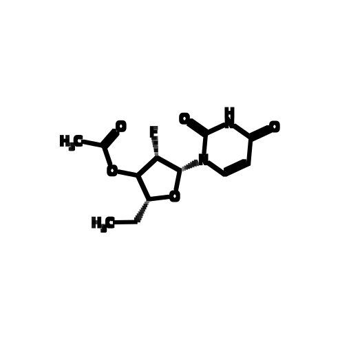 CC[C@H]1O[C@@H](n2ccc(=O)[nH]c2=O)[C@@H](F)C1OC(C)=O